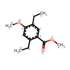 CCc1cc(C(=O)OC)c(CC)cc1OC